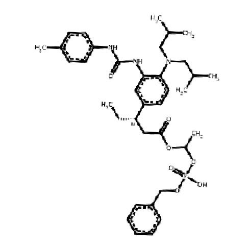 CC[C@@H](CC(=O)OC(C)OP(=O)(O)OCc1ccccc1)c1ccc(N(CC(C)C)CC(C)C)c(NC(=O)Nc2ccc(C)cc2)c1